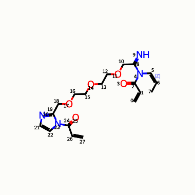 C=CC(=O)N(/C=C\C)C(=N)COCCOCCOCc1nccn1C(=O)C=C